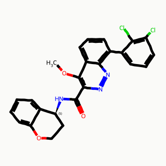 COc1c(C(=O)N[C@H]2CCOc3ccccc32)nnc2c(-c3cccc(Cl)c3Cl)cccc12